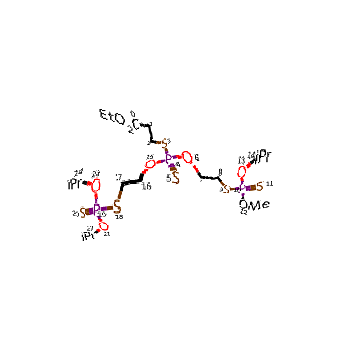 CCOC(=O)CCSP(=S)(OCCSP(=S)(OC)OC(C)C)OCCSP(=S)(OC(C)C)OC(C)C